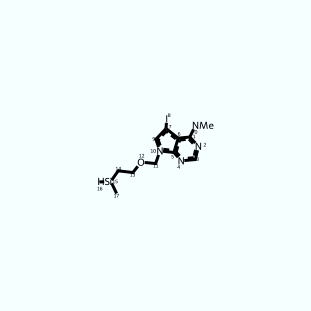 CNc1ncnc2c1c(I)cn2COCC[SiH](C)C